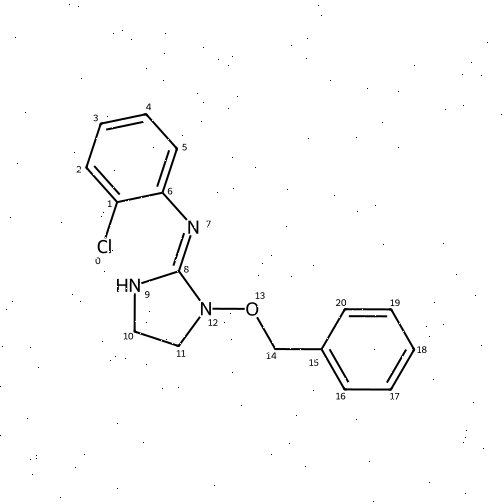 Clc1ccccc1/N=C1\NCCN1OCc1ccccc1